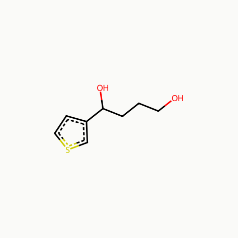 OCCCC(O)c1ccsc1